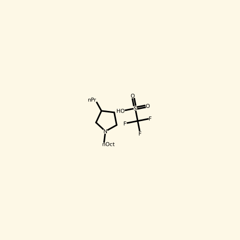 CCCCCCCCN1CCC(CCC)C1.O=S(=O)(O)C(F)(F)F